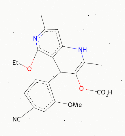 CCOc1nc(C)cc2c1C(c1ccc(C#N)cc1OC)C(OC(=O)O)=C(C)N2